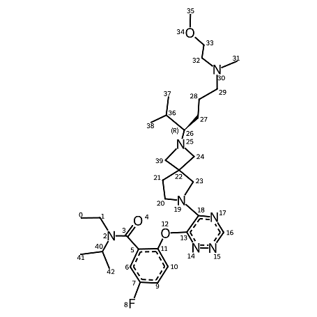 CCN(C(=O)c1cc(F)ccc1Oc1nncnc1N1CCC2(C1)CN([C@H](CCCN(C)CCOC)C(C)C)C2)C(C)C